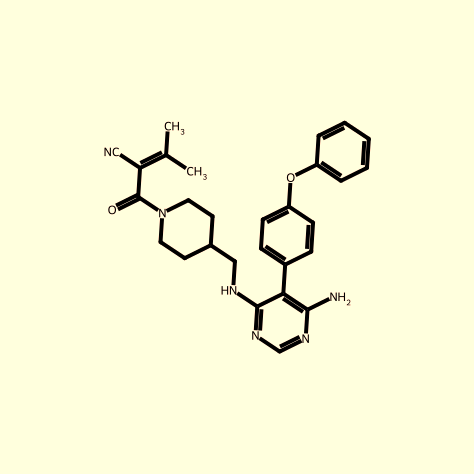 CC(C)=C(C#N)C(=O)N1CCC(CNc2ncnc(N)c2-c2ccc(Oc3ccccc3)cc2)CC1